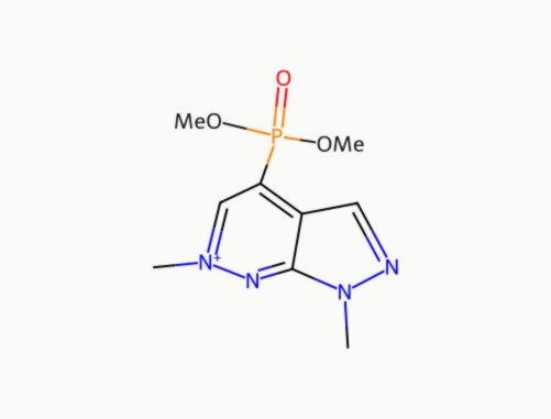 COP(=O)(OC)c1c[n+](C)nc2c1cnn2C